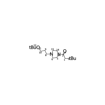 CC(C)(C)CC(=O)N1CCN(CCCOC(C)(C)C)CC1